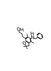 Cc1c(CCCO)c2c(c(C)c1NCc1ccccc1)CC(C)(C)O2